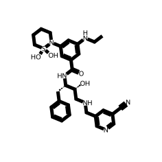 CCNc1cc(C(=O)N[C@@H](Cc2ccccc2)[C@H](O)CNCc2cncc(C#N)c2)cc(N2CCCCS2(O)O)c1